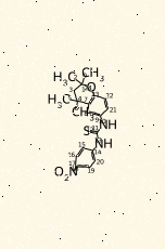 CC1(C)CC(C)(C)c2cc(NC(=S)Nc3ccc([N+](=O)[O-])cc3)ccc2O1